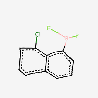 FB(F)c1cccc2cccc(Cl)c12